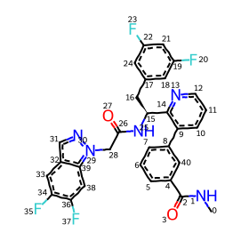 CNC(=O)c1cccc(-c2cccnc2[C@H](Cc2cc(F)cc(F)c2)NC(=O)Cn2ncc3cc(F)c(F)cc32)c1